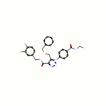 O=C(NCC(F)(F)F)c1ccc(-n2nnc(C(=O)NCc3ccc(Cl)c(Cl)c3)c2COCc2ccccc2)cc1